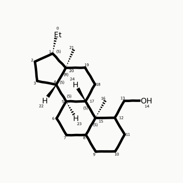 CC[C@H]1CC[C@H]2[C@@H]3CCC4CCCC(CO)[C@]4(C)[C@H]3CC[C@]12C